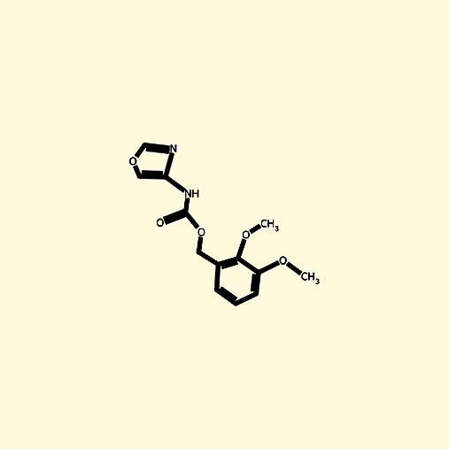 COc1cccc(COC(=O)Nc2cocn2)c1OC